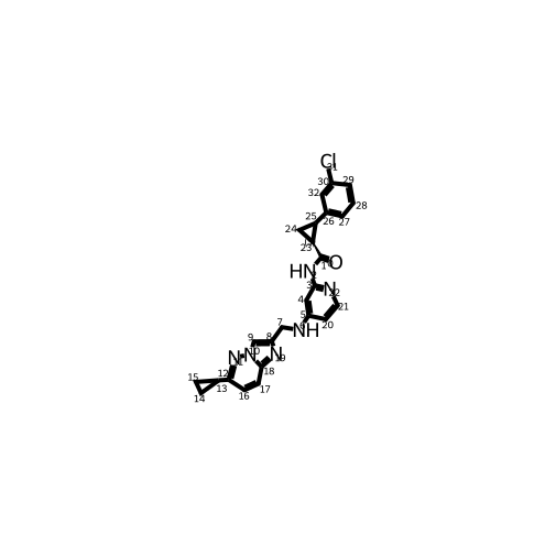 O=C(Nc1cc(NCc2cn3nc(C4CC4)ccc3n2)ccn1)[C@H]1CC1c1cccc(Cl)c1